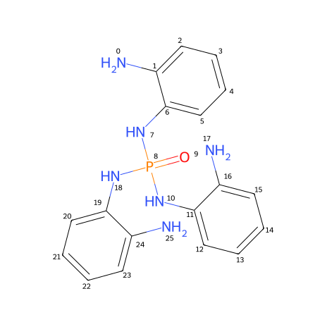 Nc1ccccc1NP(=O)(Nc1ccccc1N)Nc1ccccc1N